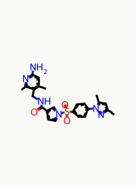 Cc1cc(C)n(-c2ccc(S(=O)(=O)n3ccc(C(=O)NCc4c(C)cc(N)nc4C)c3)cc2)n1